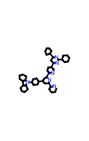 c1ccc(-c2cc(-c3ccc(-c4cc(-c5ccc(-n6c7ccccc7c7ccccc76)cc5)cc(-c5ccccn5)n4)nc3)nc(-c3ccccc3)n2)cc1